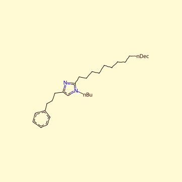 CCCCCCCCCCCCCCCCCCCc1nc(CCCc2ccccc2)cn1CCCC